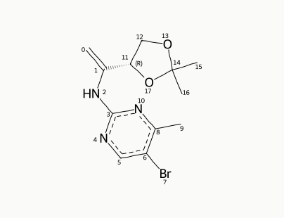 C=C(Nc1ncc(Br)c(C)n1)[C@@H]1COC(C)(C)O1